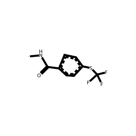 [CH2]NC(=O)c1ccc(SC(F)(F)F)cc1